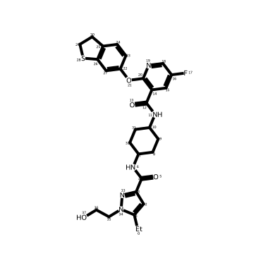 CCc1cc(C(=O)NC2CCC(NC(=O)c3cc(F)cnc3Oc3ccc4c(c3)SCC4)CC2)nn1CCO